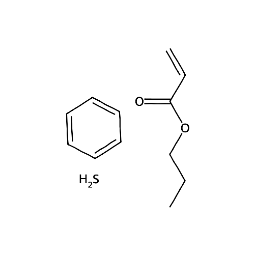 C=CC(=O)OCCC.S.c1ccccc1